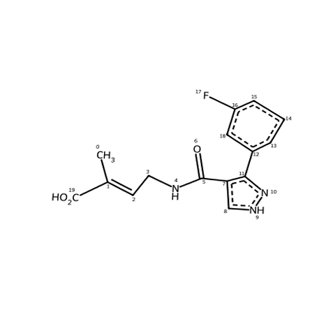 CC(=CCNC(=O)c1c[nH]nc1-c1cccc(F)c1)C(=O)O